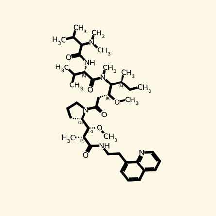 CC[C@H](C)C([C@@H](CC(=O)N1CCC[C@H]1[C@H](OC)[C@@H](C)C(=O)NCCc1cccc2cccnc12)OC)N(C)C(=O)[C@@H](NC(=O)C(C(C)C)N(C)C)C(C)C